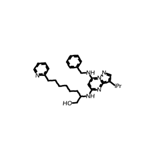 CC(C)c1cnn2c(NCc3ccccc3)cc(NC(CO)CCCCCCc3ccccn3)nc12